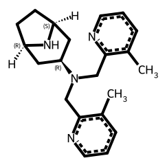 Cc1cccnc1CN(Cc1ncccc1C)[C@H]1C[C@H]2CC[C@@H](C1)N2